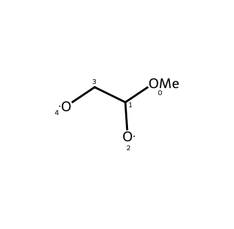 COC([O])C[O]